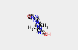 C[C@@H]1CN(c2ccnc(N3CCOCC3)n2)C[C@H](C)N1c1ccnc(CCO)n1